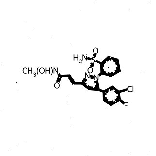 CN(O)C(=O)C=Cc1cc(-c2ccc(F)c(Cl)c2)n(-c2ccccc2S(N)(=O)=O)n1